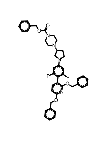 O=C(OCc1ccccc1)N1CCN([C@H]2CCN(c3cc(F)c(-c4ccc(OCc5ccccc5)nc4OCc4ccccc4)c(F)c3)C2)CC1